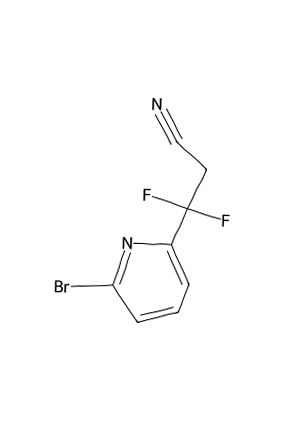 N#CCC(F)(F)c1cccc(Br)n1